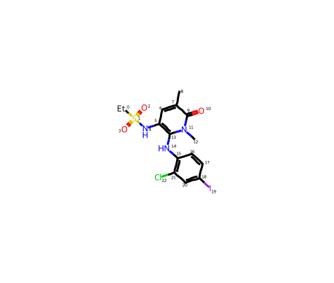 CCS(=O)(=O)Nc1cc(C)c(=O)n(C)c1Nc1ccc(I)cc1Cl